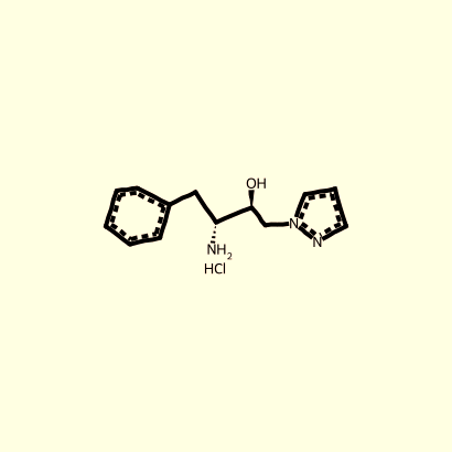 Cl.N[C@H](Cc1ccccc1)[C@@H](O)Cn1cccn1